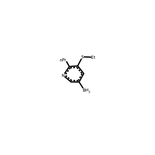 Bc1cnc(CCC)c(SCC)c1